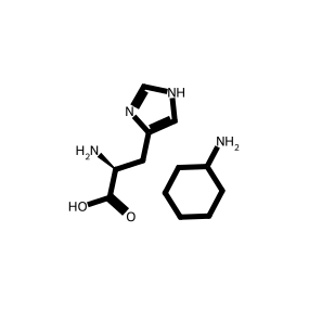 NC1CCCCC1.N[C@@H](Cc1c[nH]cn1)C(=O)O